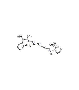 CCCCN(/C(C)=C/C=C/C=C/C=C/C(C)=[N+](\CCCC)c1ccccc1C)c1ccccc1C